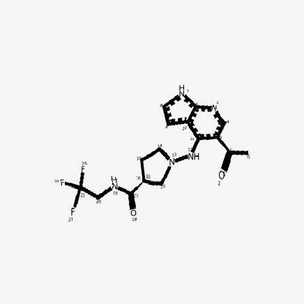 CC(=O)c1cnc2[nH]ccc2c1NN1CC[C@H](C(=O)NCC(F)(F)F)C1